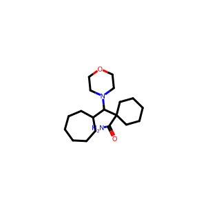 NC(=O)C1(C(C2CCCCCC2)N2CCOCC2)CCCCC1